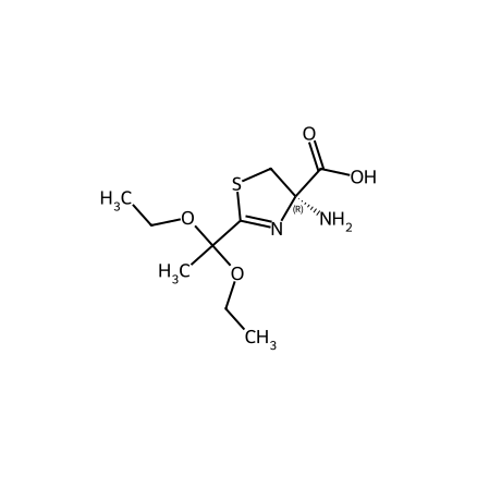 CCOC(C)(OCC)C1=N[C@](N)(C(=O)O)CS1